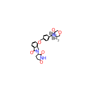 BC(B)(c1ccc(COc2cccc3c2CN(C2CCC(=O)NC2=O)C3=O)cc1)N1CCOCC1=O